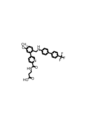 COc1ccc(CNc2ccc(-c3ccc(C(F)(F)F)cc3)cc2)c(-c2ccc(C(=O)NCCC(=O)O)nc2)c1